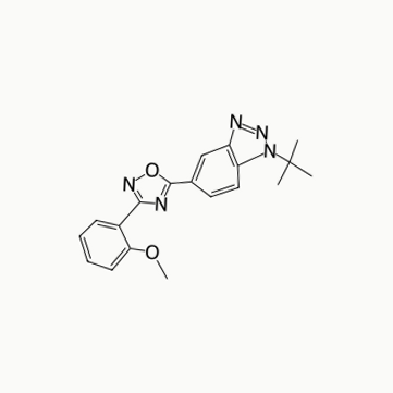 COc1ccccc1-c1noc(-c2ccc3c(c2)nnn3C(C)(C)C)n1